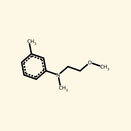 COCCN(C)c1cccc(C)c1